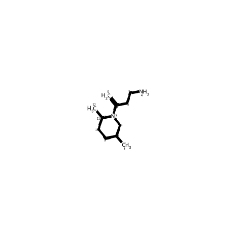 C=C(CCN)N1CC(C)CCC1C